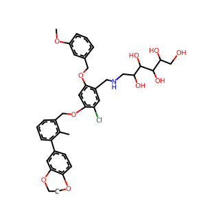 COc1cccc(COc2cc(OCc3cccc(-c4ccc5c(c4)OCCO5)c3C)c(Cl)cc2CNCC(O)C(O)C(O)C(O)CO)c1